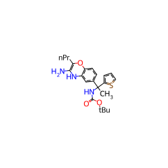 CCCC1=C(N)Nc2cc(C(C)(NC(=O)OC(C)(C)C)c3cccs3)ccc2O1